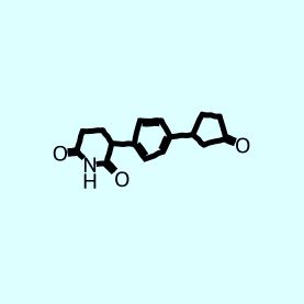 O=C1CCC(c2ccc(C3CCC(=O)NC3=O)cc2)C1